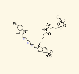 CCc1ccc2c(c1)C(C)(C)C(/C=C/C=C/C=C/C=C1\N(CCCCCC(=O)NC(CCCC(=O)ON3C(=O)CCC3=O)C(C)=O)c3ccc(S(=O)(=O)[O-])cc3C1(C)C)=[N+]2C